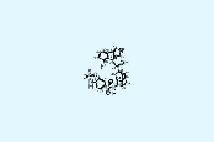 CS(=O)(=O)Nc1ccc(S(=O)(=O)NC2C3CC4CC2CC(C(O)CC2c5c(F)cccc5-c5cncn52)(C4)C3)cc1